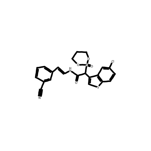 N#Cc1cccc(/C=C/NC(=O)C(c2csc3ccc(Cl)cc23)P2(=O)OCCCO2)c1